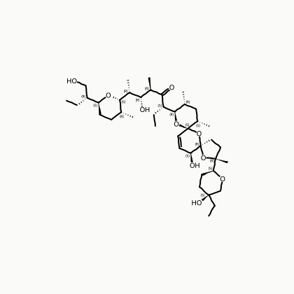 CC[C@H](CO)[C@@H]1CC[C@@H](C)[C@@H]([C@H](C)[C@@H](O)[C@@H](C)C(=O)[C@@H](CC)[C@@H]2O[C@@]3(C=C[C@H](O)[C@@]4(CC[C@](C)([C@@H]5CC[C@@](O)(CC)CO5)O4)O3)[C@@H](C)C[C@H]2C)O1